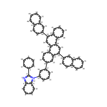 c1ccc(-c2nc3ccccc3n2-c2cccc(-c3ccc4c(c3)c(-c3ccc5ccccc5c3)cc3c5ccccc5c(-c5ccc6ccccc6c5)cc43)c2)cc1